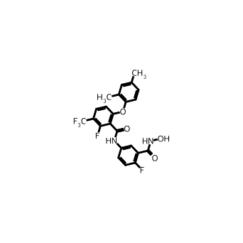 Cc1ccc(Oc2ccc(C(F)(F)F)c(F)c2C(=O)Nc2ccc(F)c(C(=O)NO)c2)c(C)c1